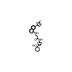 Cc1nc(-c2ccc3ccnc(NCCC(=O)Nc4ncc(C5(O)CCCCC5)s4)c3c2)no1